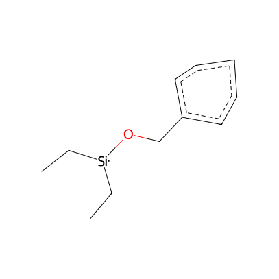 CC[Si](CC)OCc1ccccc1